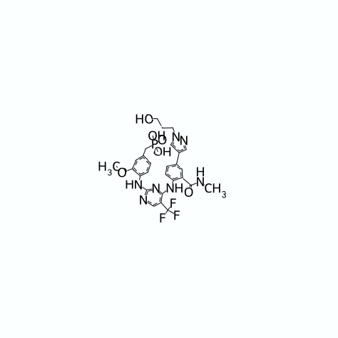 CNC(=O)c1cc(-c2cnn(CCCO)c2)ccc1Nc1nc(Nc2ccc(CP(=O)(O)O)cc2OC)ncc1C(F)(F)F